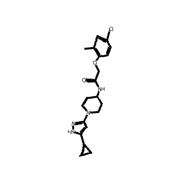 Cc1cc(Cl)ccc1OCC(=O)NC1CCN(c2cc(C3CC3)[nH]n2)CC1